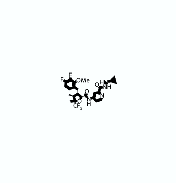 COc1c(C[C@@H]2[C@H](C(=O)Nc3ccnc(C(=O)NNC4CC4)c3)O[C@@](C)(C(F)(F)F)[C@H]2C)ccc(F)c1F